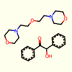 C1CN(CCOCCN2CCOCC2)CCO1.O=C(c1ccccc1)C(O)c1ccccc1